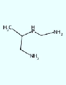 CC(CN)PCN